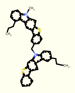 CCCc1ccc2c(c1)c1cc3c(cc1n2Cc1ccc2sc4cc5c(cc4c2c1)c1c(CCC)cccc1n5C)sc1ccccc13